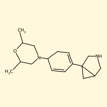 CC1CN(C2C=CC(C34CNCC3C4)=CC2)CC(C)O1